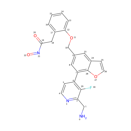 NCc1nccc(-c2cc(COc3ccccc3CC(=O)N=O)cc3ccoc23)c1F